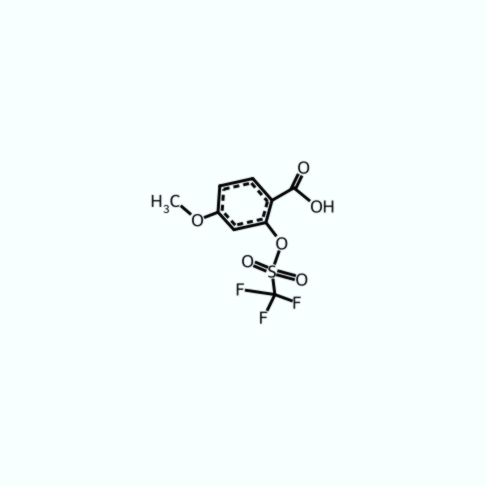 COc1ccc(C(=O)O)c(OS(=O)(=O)C(F)(F)F)c1